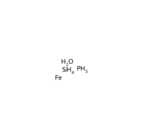 O.P.[Fe].[SiH4]